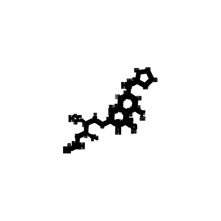 CCNC[C@@H](F)[C@H](C)SCc1nc2cc(NC3CCCC3)cc(F)c2c(=O)[nH]1